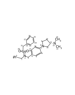 CC(C)CN(Cc1ccc(N2CC[C@H](N(C)C)C2)cc1)S(=O)(=O)Cc1ccccc1